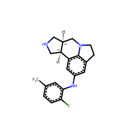 Fc1ccc(C(F)(F)F)cc1Nc1cc2c3c(c1)[C@H]1CNC[C@H]1CN3CC2